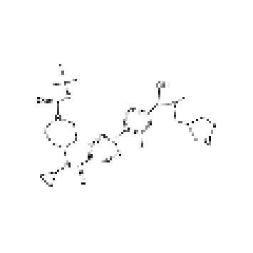 CN(CC1CCOC1)C(O)c1ccc(-c2ncc(C(=O)N(C3CC3)C3CCN(C(=O)OC(C)(C)C)CC3)cn2)c(F)c1